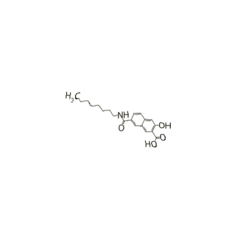 CCCCCCCCNC(=O)c1ccc2cc(O)c(C(=O)O)cc2c1